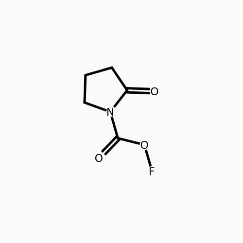 O=C1CCCN1C(=O)OF